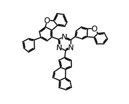 c1ccc(-c2cc(-c3nc(-c4ccc5c(ccc6ccccc65)c4)nc(-c4ccc5oc6ccccc6c5c4)n3)c3c(c2)oc2ccccc23)cc1